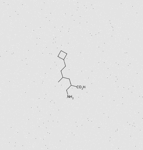 CC(CCC1CCC1)CC(CN)C(=O)O